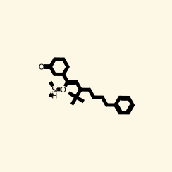 C[SiH](C)OC(=CC(CCCCc1ccccc1)C(C)(C)C)C1CCCC(=O)C1